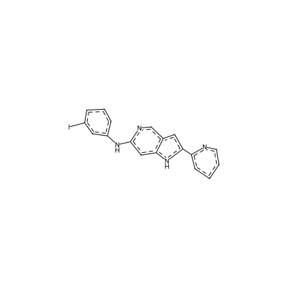 Ic1cccc(Nc2cc3[nH]c(-c4ccccn4)cc3cn2)c1